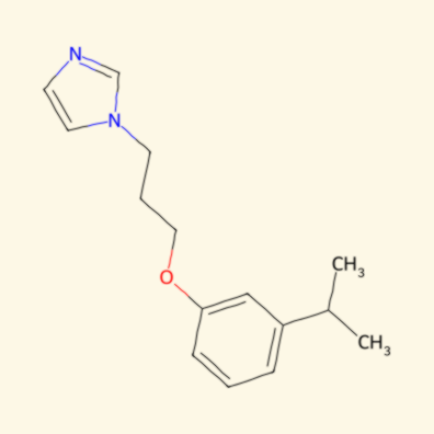 CC(C)c1cccc(OCCCn2ccnc2)c1